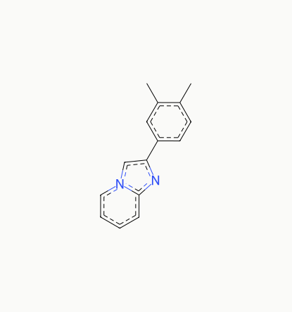 Cc1ccc(-c2cn3ccccc3n2)cc1C